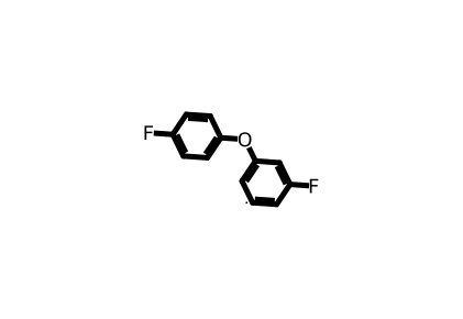 Fc1ccc(Oc2c[c]cc(F)c2)cc1